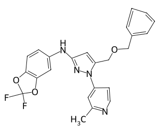 Cc1cc(-n2nc(Nc3ccc4c(c3)OC(F)(F)O4)cc2COCc2ccccc2)ccn1